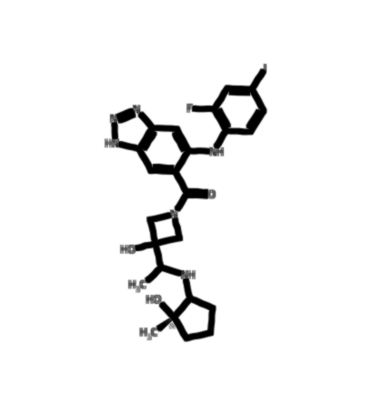 CC(NC1CCC[C@]1(C)O)C1(O)CN(C(=O)c2cc3[nH]nnc3cc2Nc2ccc(I)cc2F)C1